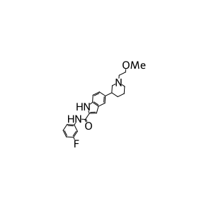 COCCN1CCCC(c2ccc3[nH]c(C(=O)Nc4cccc(F)c4)cc3c2)C1